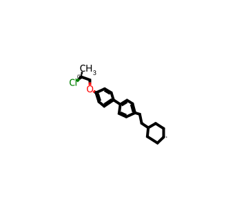 C[C@H](Cl)COc1ccc(-c2ccc(CCC3CC[CH]CC3)cc2)cc1